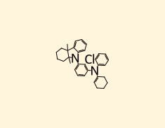 CC12CCCCC1(C)N(c1cccc(N(C3=CCCCC3)c3ccccc3)c1Cl)c1ccccc12